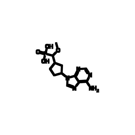 COC(C1CCC(n2cnc3c(N)ncnc32)C1)P(=O)(O)O